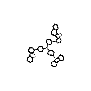 c1cc(-c2cccc3oc4c5ccccc5ccc4c23)cc(N(c2ccc(-c3cccc4c3sc3ccccc34)cc2)c2ccc(-n3c4ccccc4c4ccccc43)cc2)c1